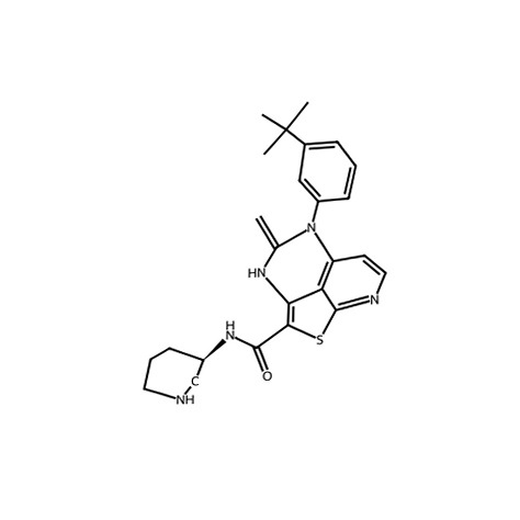 C=c1[nH]c2c(C(=O)N[C@@H]3CCCNC3)sc3nccc(c32)n1-c1cccc(C(C)(C)C)c1